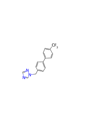 FC(F)(F)c1ccc(-c2ccc(Cn3cncn3)cc2)cc1